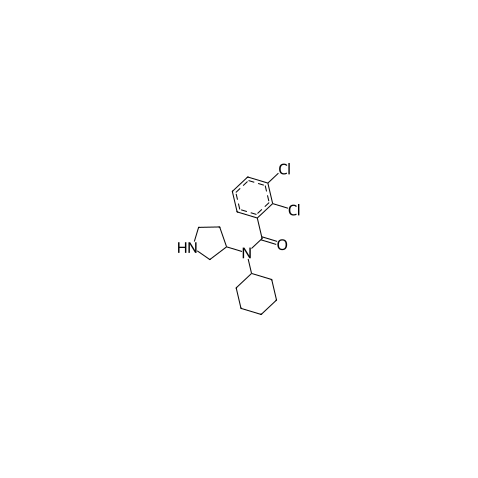 O=C(c1cccc(Cl)c1Cl)N(C1CCCCC1)C1CCNC1